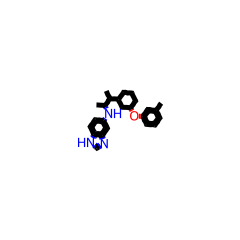 Cc1cccc(OC2CCCC(C(C)C(C)Nc3ccc4[nH]cnc4c3)C2)c1